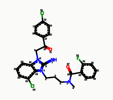 CN(CCCn1c(=N)n(CC(=O)c2ccc(Cl)cc2)c2cccc(Cl)c21)C(=O)c1ccccc1F